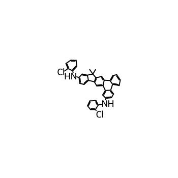 CC1(C)c2cc(Nc3ccccc3Cl)ccc2-c2cc3c4cc(Nc5ccccc5Cl)ccc4c4ccccc4c3cc21